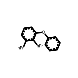 CCCc1cc[c]c(Oc2ccccc2)c1CCC